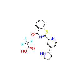 O=C(O)C(F)(F)F.O=c1nc(-c2cc(C3CCCN3)ccn2)sc2ccccc12